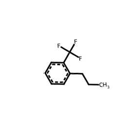 CCCc1cc[c]cc1C(F)(F)F